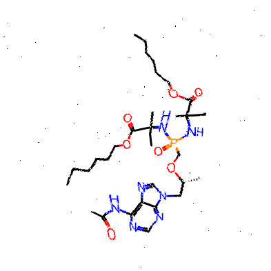 CCCCCCOC(=O)C(C)(C)NP(=O)(CO[C@H](C)Cn1cnc2c(NC(C)=O)ncnc21)NC(C)(C)C(=O)OCCCCCC